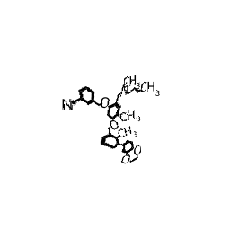 CCCCN(C)Cc1cc(C)c(OCc2cccc(-c3ccc4c(c3)OCCO4)c2C)cc1OCc1cccc(C#N)c1